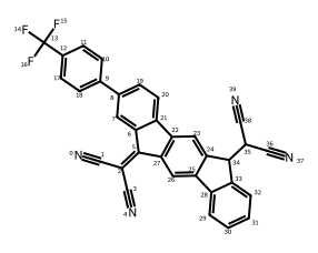 N#CC(C#N)=C1c2cc(-c3ccc(C(F)(F)F)cc3)ccc2-c2cc3c(cc21)-c1ccccc1C3C(C#N)C#N